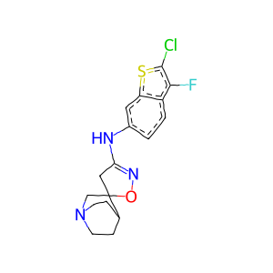 Fc1c(Cl)sc2cc(NC3=NOC4(C3)CN3CCC4CC3)ccc12